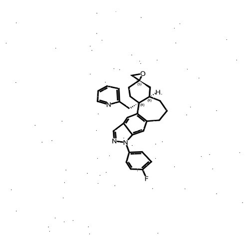 Fc1ccc(-n2ncc3cc4c(cc32)CCC[C@@H]2C[C@@]3(CC[C@]42Cc2ccccn2)CO3)cc1